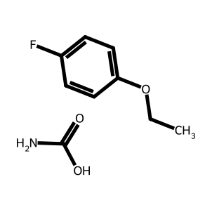 CCOc1ccc(F)cc1.NC(=O)O